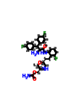 C[C@@H]1O[C@H](CCc2c(F)cccc2NC(=O)[C@@H](N)C(c2ccc(F)cc2)c2ccc(F)cc2)CN[C@@H]1COC(N)=O